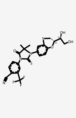 CC1(C)C(=O)N(c2ccc(C#N)c(C(F)(F)F)c2)C(=S)N1c1ccc2c(c1)SC[C@H]([C@@H](O)CO)O2